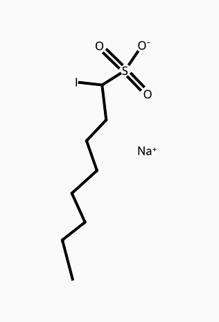 CCCCCCCC(I)S(=O)(=O)[O-].[Na+]